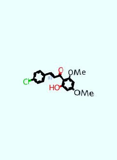 COc1cc(O)c(C(=O)/C=C/c2ccc(Cl)cc2)c(OC)c1